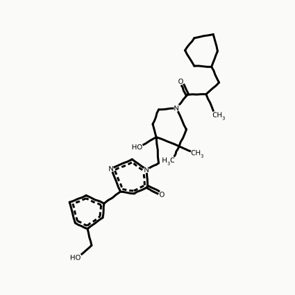 CC(CC1CCCCC1)C(=O)N1CCC(O)(Cn2cnc(-c3cccc(CO)c3)cc2=O)C(C)(C)C1